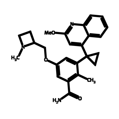 COc1cc(C2(c3cc(OCC4CCN4C)cc(C(N)=O)c3C)CC2)c2ccccc2n1